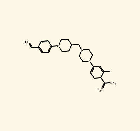 C=Cc1ccc(N2CCC(CN3CCN(C4=CCC(C(=C)N)C(F)=C4)CC3)CC2)cc1